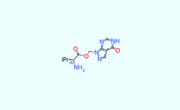 CC(C)[C@H](N)C(=O)OCn1ncc2c(=O)[nH]cnc21